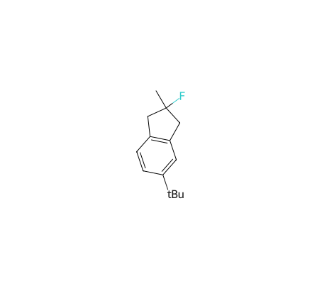 CC1(F)Cc2ccc(C(C)(C)C)cc2C1